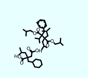 CC(C)CC(CC(=O)O)(CC1CCCCC1)C(=O)O.CC(C)COC(=O)C(CC(C)C)(CC(C)C)C(Cc1ccccc1)(C(=O)OCC(C)C)C(C)C